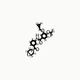 O=C(Nc1cccc(C(=O)N2CCOCC2)c1)c1ccc(OC(F)F)c(OCC2CC2)c1